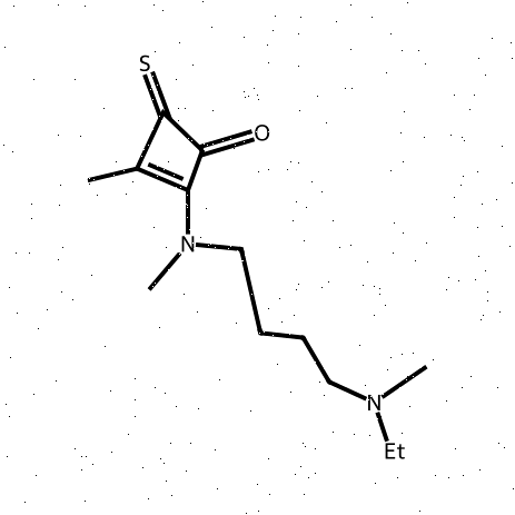 CCN(C)CCCCN(C)c1c(C)c(=S)c1=O